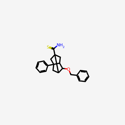 NC(=S)C12CC3C(OCc4ccccc4)C1CC3(c1ccccc1)C2